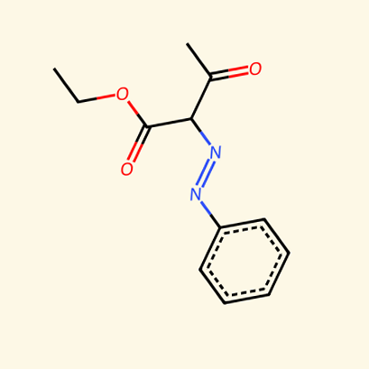 CCOC(=O)C(/N=N/c1ccccc1)C(C)=O